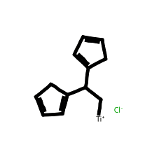 [Cl-].[Ti+][CH2]C(C1=CC=CC1)C1=CC=CC1